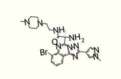 CN1CCN(CCNC(=O)[C@@](C)(N)c2nc3c(Br)cccc3c3nc(-c4cnn(C)c4)nn23)CC1